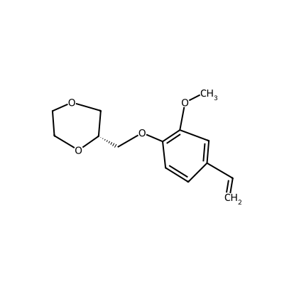 C=Cc1ccc(OC[C@H]2COCCO2)c(OC)c1